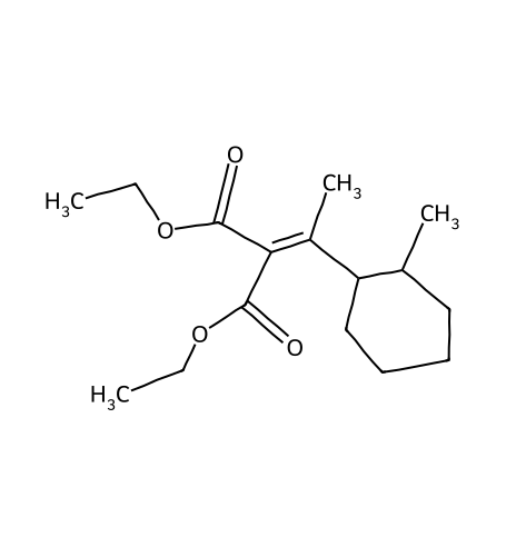 CCOC(=O)C(C(=O)OCC)=C(C)C1CCCCC1C